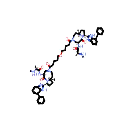 CN[C@@H](C)C(=O)N[C@H]1CN(C(=O)CCCCOCCCCC(=O)N2CC[C@H]3CC[C@@H](c4nc5cccc(-c6ccccc6)c5[nH]4)N3C(=O)[C@@H](NC(=O)[C@H](C)NC)C2)CC[C@H]2CC[C@@H](c3nc4cccc(-c5ccccc5)c4[nH]3)N2C1=O